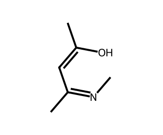 C/N=C(C)\C=C(\C)O